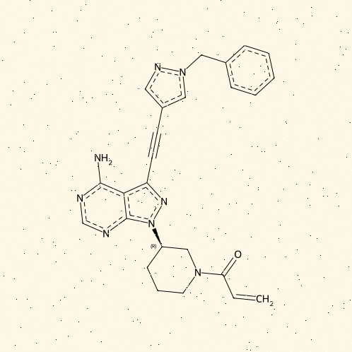 C=CC(=O)N1CCC[C@@H](n2nc(C#Cc3cnn(Cc4ccccc4)c3)c3c(N)ncnc32)C1